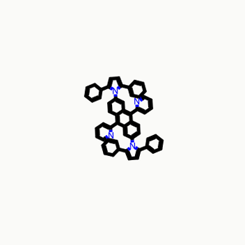 C1=CCC(c2ccc(C3=CCCC=C3)n2-c2ccc3c(-c4ccccn4)c4cc(-n5c(-c6ccccc6)ccc5C5C=CC=CC5)ccc4c(-c4ccccn4)c3c2)C=C1